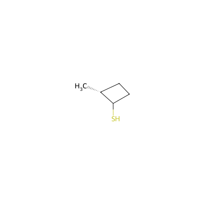 C[C@@H]1CCC1S